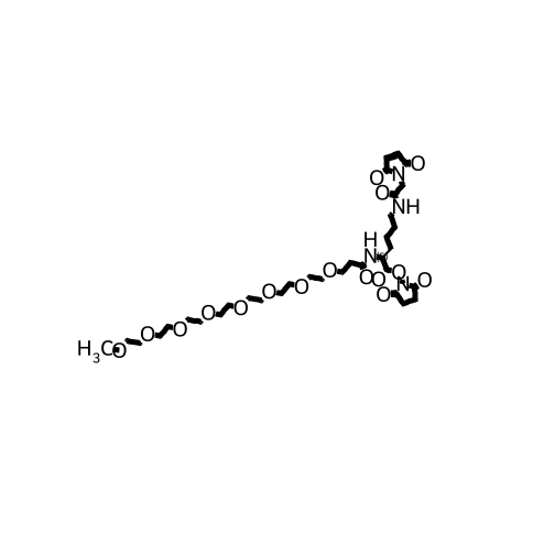 COCCOCCOCCOCCOCCOCCOCCOCCC(=O)N[C@@H](CCCCNC(=O)CN1C(=O)C=CC1=O)C(=O)ON1C(=O)CCC1=O